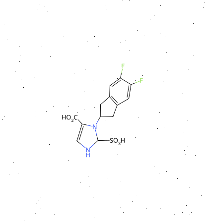 O=C(O)C1=CNC(S(=O)(=O)O)N1C1Cc2cc(F)c(F)cc2C1